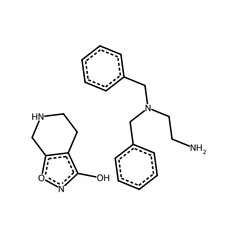 NCCN(Cc1ccccc1)Cc1ccccc1.Oc1noc2c1CCNC2